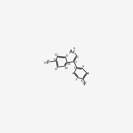 CC(=O)C=C(c1ccc(F)cc1)c1ccc(F)cc1